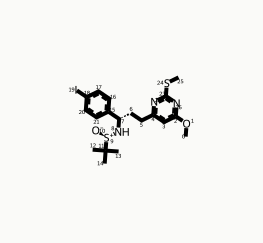 COc1cc(CC[C@H](N[S@+]([O-])C(C)(C)C)c2ccc(I)cc2)nc(SC)n1